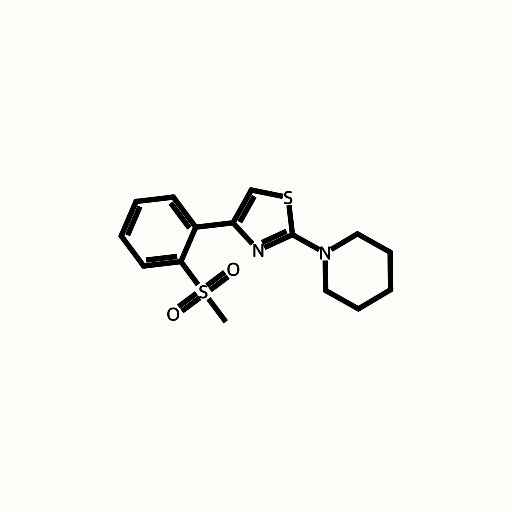 CS(=O)(=O)c1ccccc1-c1csc(N2CCCCC2)n1